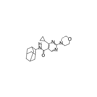 O=C(NC1C2CC3CC(C2)CC1C3)c1cnc(N2CCOCC2)nc1C1CC1